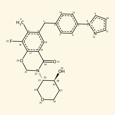 Cc1c(Cc2ccc(-n3cccn3)cc2)cc2c(c1F)OCN([C@H]1COCC[C@@H]1O)C2=O